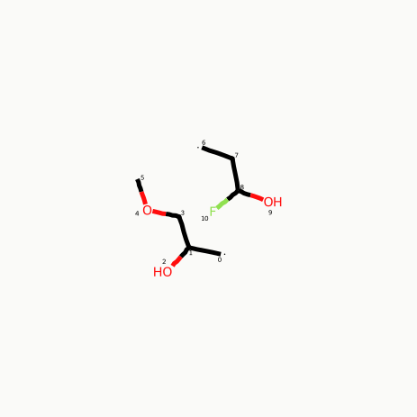 [CH2]C(O)COC.[CH2]CC(O)F